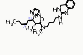 CC/C=C\C=C(/C(C)C(=O)N(C)CCCCNC1=Nc2ccccc2CN1)n1nccn1